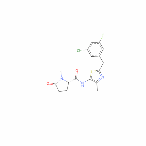 Cc1nc(Cc2cc(F)cc(Cl)c2)sc1NC(=O)[C@@H]1CCC(=O)N1C